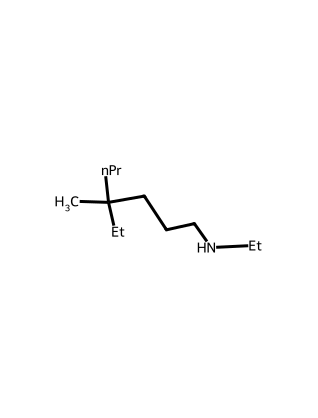 CCCC(C)(CC)CCCNCC